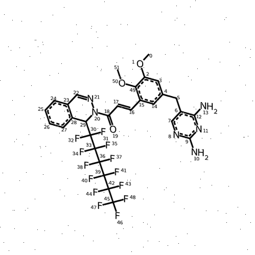 COc1cc(Cc2cnc(N)nc2N)cc(C=CC(=O)N2N=Cc3ccccc3C2C(F)(F)C(F)(F)C(F)(F)C(F)(F)C(F)(F)C(F)(F)F)c1OC